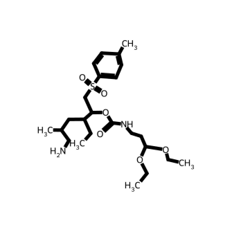 CCOC(CCNC(=O)OC(CS(=O)(=O)c1ccc(C)cc1)C(CC)CC(C)CN)OCC